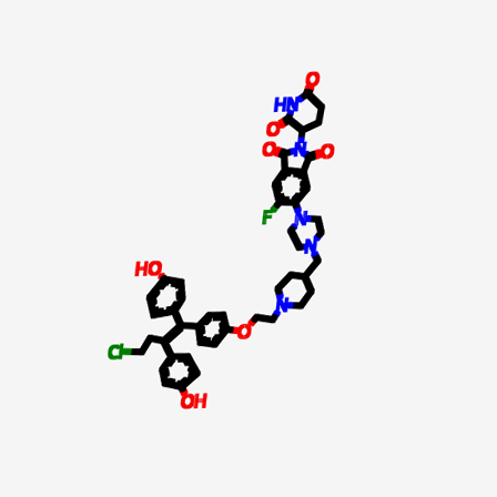 O=C1CCC(N2C(=O)c3cc(F)c(N4CCN(CC5CCN(CCOc6ccc(C(=C(CCCl)c7ccc(O)cc7)c7ccc(O)cc7)cc6)CC5)CC4)cc3C2=O)C(=O)N1